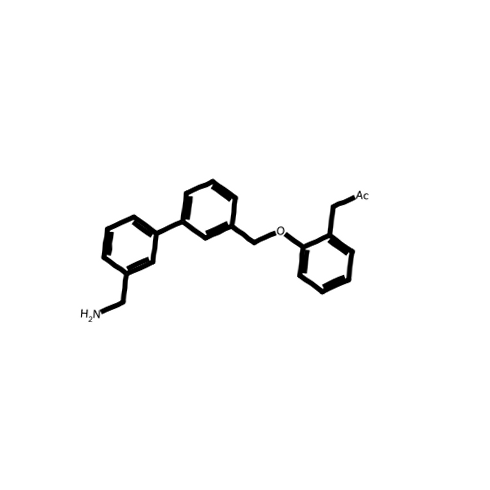 CC(=O)Cc1ccccc1OCc1cccc(-c2cccc(CN)c2)c1